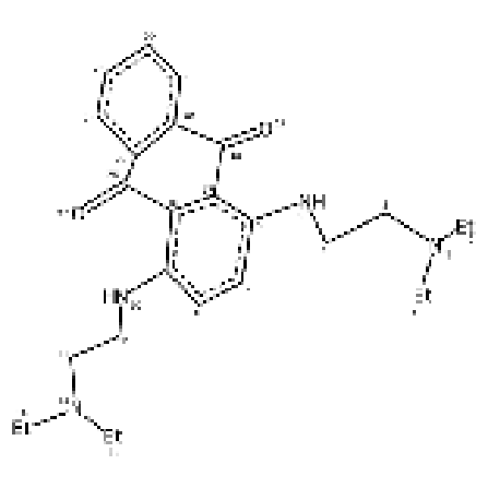 CCN(CC)CCNc1ccc(NCCN(CC)CC)c2c1C(=O)c1ccccc1C2=O